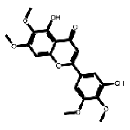 COc1cc(-c2cc(=O)c3c(O)c(OC)c(OC)cc3o2)cc(O)c1OC